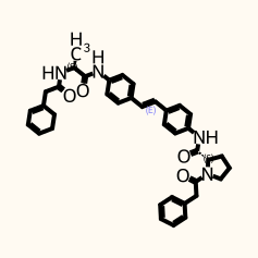 C[C@H](NC(=O)CC1=CC=CCC1)C(=O)Nc1ccc(/C=C/c2ccc(NC(=O)[C@@H]3CCCN3C(=O)Cc3ccccc3)cc2)cc1